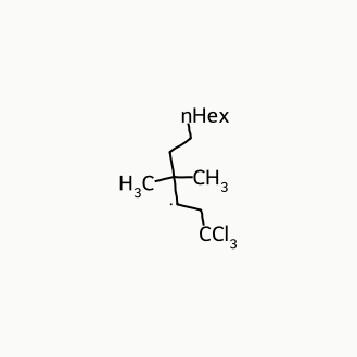 CCCCCCCCC(C)(C)[CH]CC(Cl)(Cl)Cl